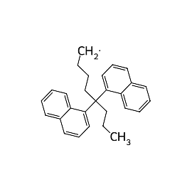 [CH2]CCCC(CCC)(c1cccc2ccccc12)c1cccc2ccccc12